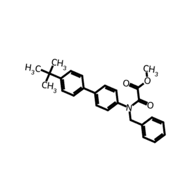 COC(=O)C(=O)N(Cc1ccccc1)c1ccc(-c2ccc(C(C)(C)C)cc2)cc1